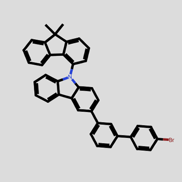 CC1(C)c2ccccc2-c2c(-n3c4ccccc4c4cc(-c5cccc(-c6ccc(Br)cc6)c5)ccc43)cccc21